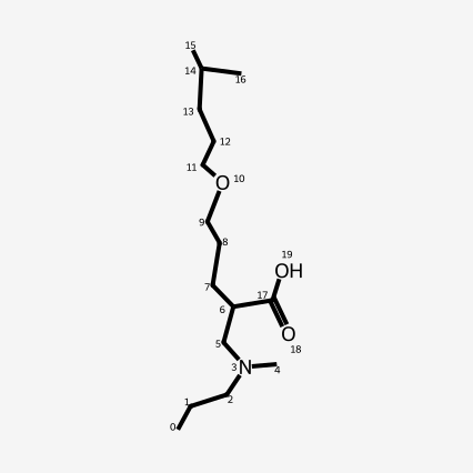 CCCN(C)CC(CCCOCCCC(C)C)C(=O)O